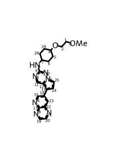 COCCOC1CCC(Nc2ncc3c(-c4cnc5nccnc5c4)ccn3n2)CC1